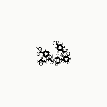 COC(=O)c1ccc2nc(CN3CCN(c4cccc5c4OC(c4ccc(Cl)cc4F)CO5)CC3)n(CC3CCO3)c2c1